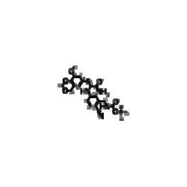 COc1cc(SC(Nc2ccc(C#N)c(CNC(=O)OC(C)(C)C)c2)C(N)=O)cc2c1OCOC2